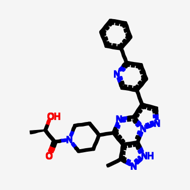 Cc1n[nH]c2c1c(C1CCN(C(=O)[C@@H](C)O)CC1)nc1c(-c3ccc(-c4ccccc4)nc3)cnn12